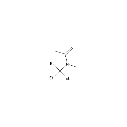 C=C(C)N(C)C(CC)(CC)CC